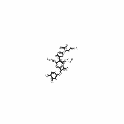 CC(=O)NC1SC2C(Sc3ccc(Cl)c(Cl)c3)C(=O)N2C(C(=O)O)=C1c1cnc(N(CCN)C(C)=S)s1